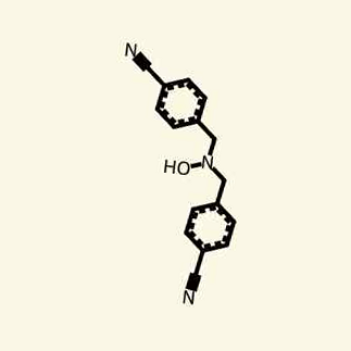 N#Cc1ccc(CN(O)Cc2ccc(C#N)cc2)cc1